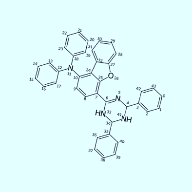 c1ccc(C2N=C(c3ccc(N(c4ccccc4)c4ccccc4)c4c3oc3ccccc34)NC(c3ccccc3)N2)cc1